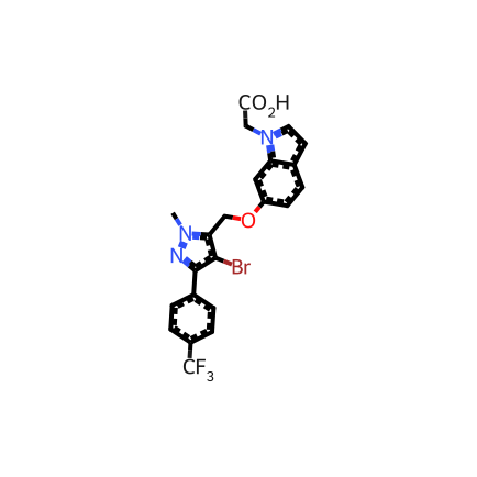 Cn1nc(-c2ccc(C(F)(F)F)cc2)c(Br)c1COc1ccc2ccn(CC(=O)O)c2c1